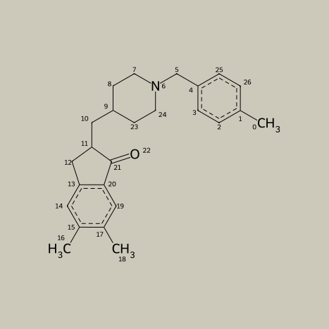 Cc1ccc(CN2CCC(CC3Cc4cc(C)c(C)cc4C3=O)CC2)cc1